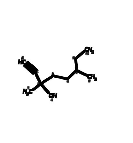 C#CC(C)(O)CCC(C)CC